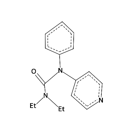 CCN(CC)C(=O)N(c1ccccc1)c1ccncc1